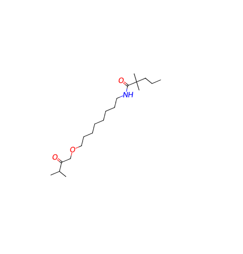 CCCC(C)(C)C(=O)NCCCCCCCCOCC(=O)C(C)C